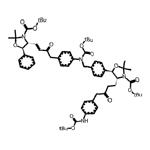 CC(C)(C)OC(=O)Nc1ccc(CC(=O)CC[C@@H]2[C@@H](c3ccc(CN(C(=O)OC(C)(C)C)c4ccc(CC(=O)/C=C/[C@@H]5[C@@H](c6ccccc6)OC(C)(C)N5C(=O)OC(C)(C)C)cc4)cc3)OC(C)(C)N2C(=O)OC(C)(C)C)cc1